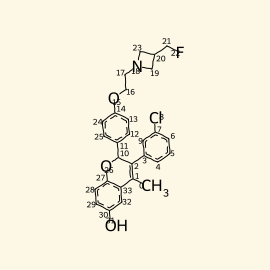 CC1=C(c2cccc(Cl)c2)C(c2ccc(OCCN3CC(CF)C3)cc2)Oc2ccc(O)cc21